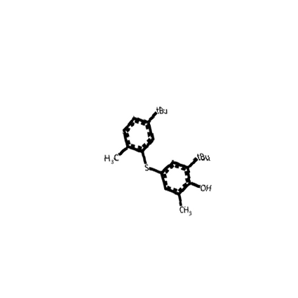 Cc1c[c]c(C(C)(C)C)cc1Sc1cc(C)c(O)c(C(C)(C)C)c1